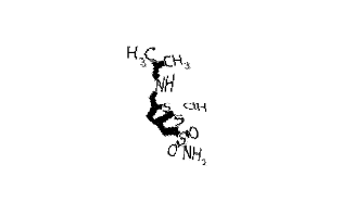 CC(C)CNCc1cc2cc(S(N)(=O)=O)sc2s1.Cl